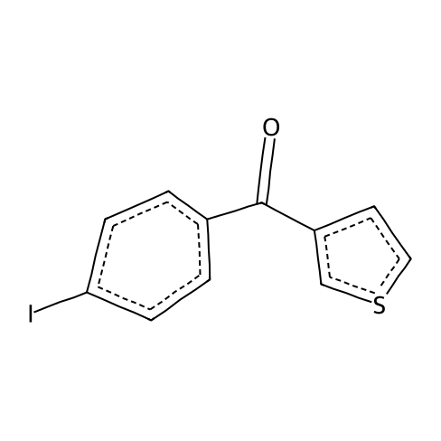 O=C(c1ccc(I)cc1)c1ccsc1